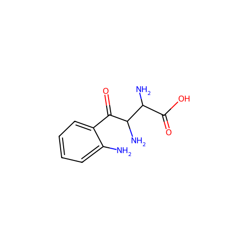 Nc1ccccc1C(=O)C(N)C(N)C(=O)O